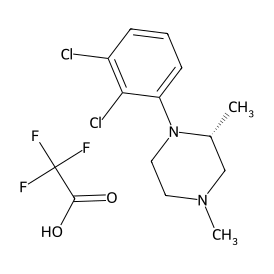 C[C@@H]1CN(C)CCN1c1cccc(Cl)c1Cl.O=C(O)C(F)(F)F